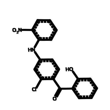 O=C(c1ccccc1O)c1ccc(Nc2ccccc2[N+](=O)[O-])cc1Cl